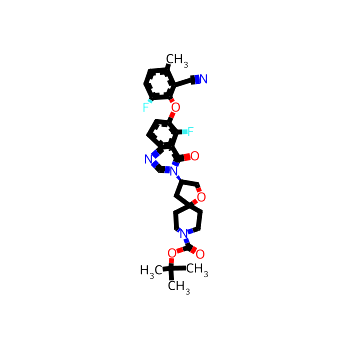 Cc1ccc(F)c(Oc2ccc3ncn([C@H]4COC5(CCN(C(=O)OC(C)(C)C)CC5)C4)c(=O)c3c2F)c1C#N